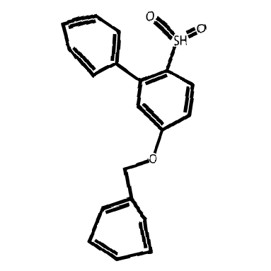 O=[SH](=O)c1ccc(OCc2ccccc2)cc1-c1ccccc1